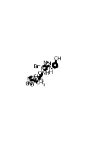 C#Cc1cccc(Nc2ncnc3cnc(NC(=O)/C=C/C[N+](C)(C)Cc4c([N+](=O)[O-])ncn4C)cc23)c1.[Br-]